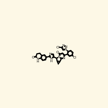 O=C1CCc2cc(-c3ncc(C4C5CC5c5nc(-c6cc(Cl)ccc6-n6cc(Cl)nn6)cc(=O)n54)[nH]3)ccc2N1